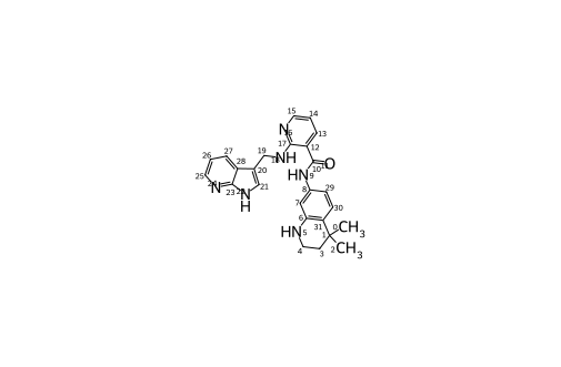 CC1(C)CCNc2cc(NC(=O)c3cccnc3NCc3c[nH]c4ncccc34)ccc21